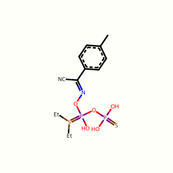 CCS(CC)=P(O)(ON=C(C#N)c1ccc(C)cc1)OP(O)(O)=S